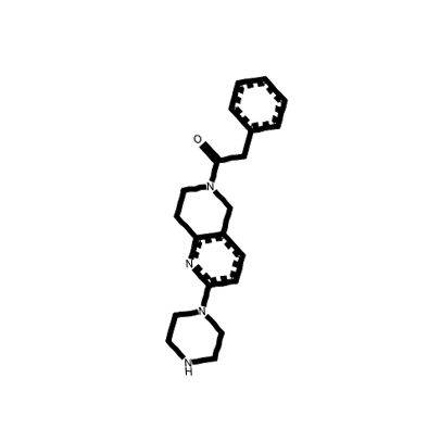 O=C(Cc1ccccc1)N1CCc2nc(N3CCNCC3)ccc2C1